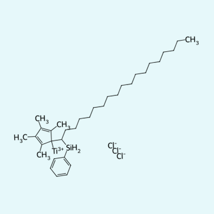 CCCCCCCCCCCCCCCCCCC([SiH2]c1ccccc1)[C]1([Ti+3])C(C)=C(C)C(C)=C1C.[Cl-].[Cl-].[Cl-]